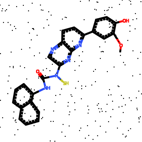 COc1cc(-c2ccc3ncc(N(S)C(=O)Nc4cccc5ccccc45)nc3n2)ccc1O